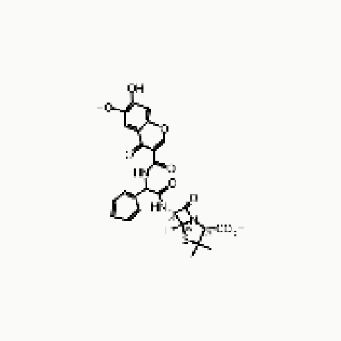 CC1(C)S[C@@H]2[C@H](NC(=O)C(NC(=O)c3coc4cc(O)c(O)cc4c3=O)c3ccccc3)C(=O)N2[C@H]1C(=O)O